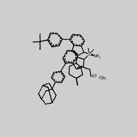 CCC1=Cc2c(-c3ccc(C45CC6CC(CC(C6)C4)C5)cc3)cccc2[CH]1[Zr]([CH3])([CH3])(=[SiH2])[CH]1C(C2CCC(C)CC2)=Cc2c(-c3ccc(C(C)(C)C)cc3)cccc21.Cl.Cl